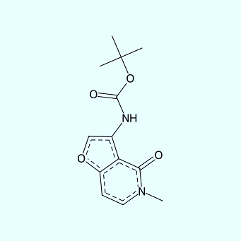 Cn1ccc2occ(NC(=O)OC(C)(C)C)c2c1=O